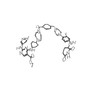 CCOC(=O)c1cnc(Nc2cnn(C)c2)nc1NC1CCC(N2CCN(C(=O)C3CCC(CN4CCN(c5ccc(NC6CCC(=O)NC6=O)cc5F)CC4)CC3)CC2)CC1